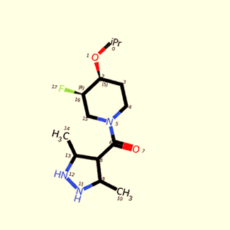 CC(C)O[C@H]1CCN(C(=O)C2C(C)NNC2C)C[C@H]1F